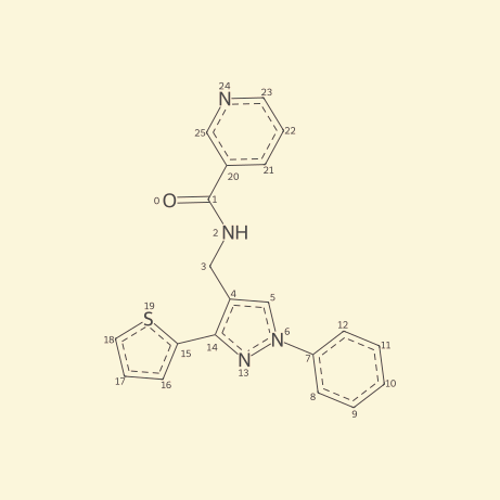 O=C(NCc1cn(-c2ccccc2)nc1-c1cccs1)c1cccnc1